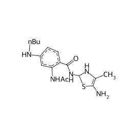 CCCCNc1ccc(C(=O)NC2NC(C)=C(N)S2)c(NC(C)=O)c1